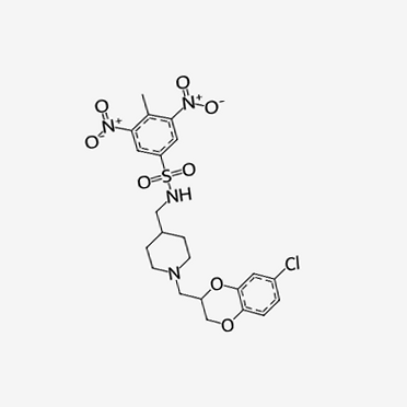 Cc1c([N+](=O)[O-])cc(S(=O)(=O)NCC2CCN(CC3COc4ccc(Cl)cc4O3)CC2)cc1[N+](=O)[O-]